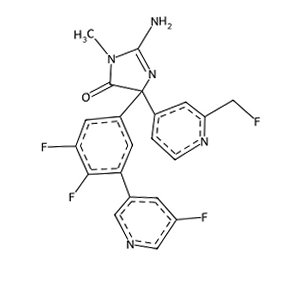 CN1C(=O)C(c2ccnc(CF)c2)(c2cc(F)c(F)c(-c3cncc(F)c3)c2)N=C1N